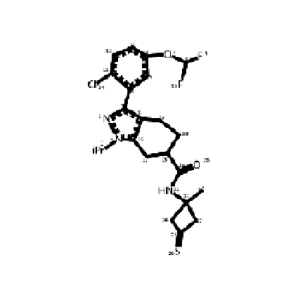 CC(C)n1nc(-c2cc(OC(F)F)ccc2Cl)c2c1CC(C(=O)NC1(C)CC(=S)C1)CC2